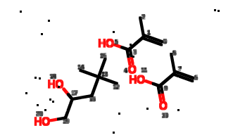 C=C(C)C(=O)O.C=C(C)C(=O)O.CC(C)(C)CC(O)CO